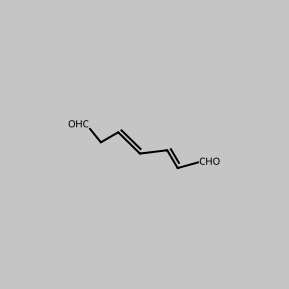 O=CC=CC=CCC=O